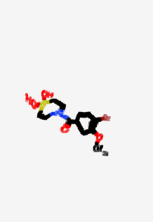 COc1cc(C(=O)N2CCS(O)(O)CC2)ccc1Br